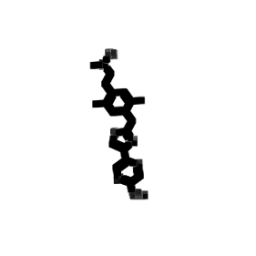 CCN(C)CCc1cc(C)c(Cc2nc(-c3cnc(C(C)(C)C)cn3)cs2)cc1C